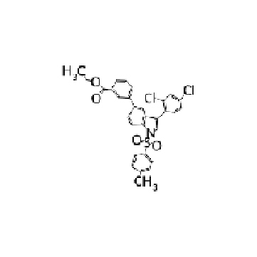 CCOC(=O)c1cccc(-c2ccc3c(c2)c(-c2ccc(Cl)cc2Cl)cn3S(=O)(=O)c2ccc(C)cc2)c1